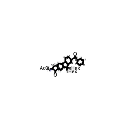 CCCCCCC1(CCCCCC)c2cc(C(=O)c3ccccc3)ccc2-c2cc3c(cc21)C(=O)/C(=N/OC(C)=O)C3